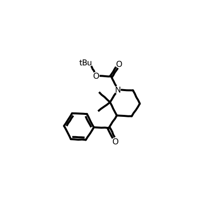 CC(C)(C)OC(=O)N1CCCC(C(=O)c2ccccc2)C1(C)C